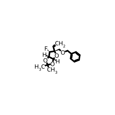 C=C[C@]1(COCc2ccccc2)O[C@@H]2OC(C)(C)O[C@@H]2[C@@H]1F